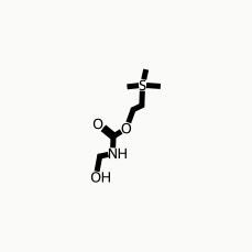 CS(C)(C)CCOC(=O)NCO